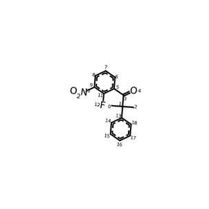 CC(C)(C(=O)c1cccc([N+](=O)[O-])c1F)c1ccccc1